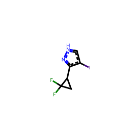 FC1(F)CC1c1n[nH]cc1I